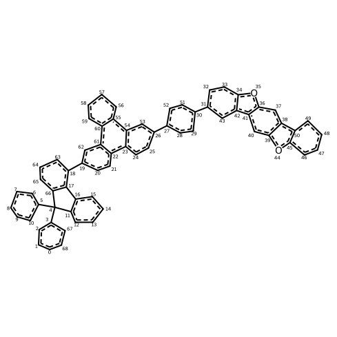 c1ccc(C2(c3ccccc3)c3ccccc3-c3c(-c4ccc5c6ccc(-c7ccc(-c8ccc9oc%10cc%11c(cc%10c9c8)oc8ccccc8%11)cc7)cc6c6ccccc6c5c4)cccc32)cc1